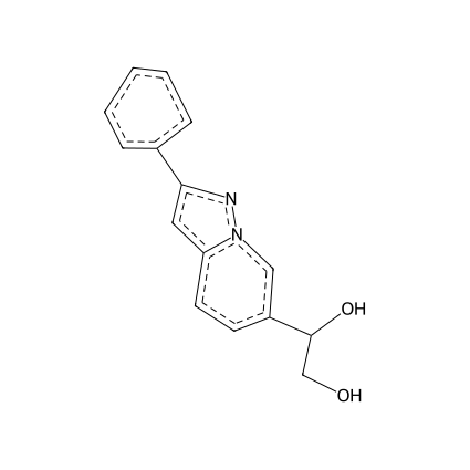 OCC(O)c1ccc2cc(-c3ccccc3)nn2c1